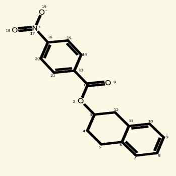 O=C(OC1CCc2ccccc2C1)c1ccc([N+](=O)[O-])cc1